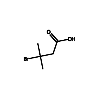 CC(C)(Br)CC(=O)O